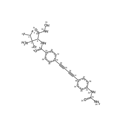 CCC(N)(C(F)F)C(NC(=O)c1ccc(C#CC#Cc2ccc(NC(N)=O)cc2)cc1)C(=O)NO